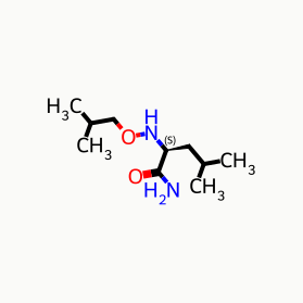 CC(C)CON[C@@H](CC(C)C)C(N)=O